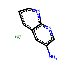 Cl.Nc1cnc2ncccc2c1